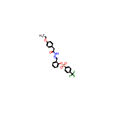 CCOc1ccc(CC(=O)N/N=C/c2ccccc2OS(=O)(=O)c2ccc(C(F)(F)F)cc2)cc1